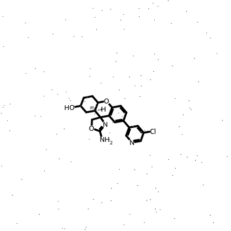 NC1=NC2(CO1)c1cc(-c3cncc(Cl)c3)ccc1OC1CCC(O)C[C@@H]12